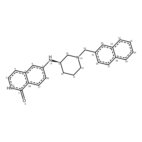 O=c1[nH]ccc2cc(N[C@@H]3CCCN(Cc4ccc5ccccc5c4)C3)ccc12